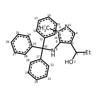 [CH2]CC(O)c1cnn(C)c1NC(c1ccccc1)(c1ccccc1)c1ccccc1